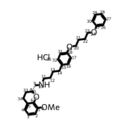 COc1cccc2c1O[C@@H](CNCCCCc1ccc(OCCCCOc3ccccc3)cc1)CC2.Cl